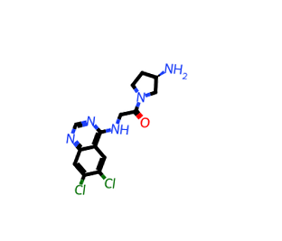 N[C@@H]1CCN(C(=O)CNc2ncnc3cc(Cl)c(Cl)cc23)C1